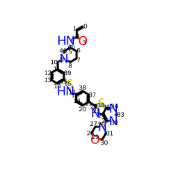 C=CC(=O)N[C@@H]1CCCN(Cc2cccc(SNc3ccc(-c4nc5c(N6CCOCC6)ncnc5s4)cc3)c2)C1